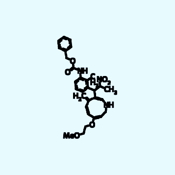 C=C1/C=C\C(OCCOC)=C/CN/C=C\1C(c1cccc(NC(=O)OCc2ccccc2)c1C)C(C)[N+](=O)[O-]